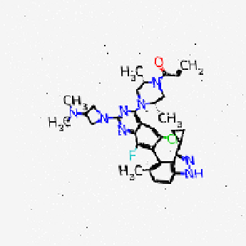 C=CC(=O)N1C[C@H](C)N(c2nc(N3CC(N(C)C)C3)nc3c(F)c(-c4c(C)ccc5[nH]nc(C6CC6)c45)c(Cl)cc23)C[C@@H]1C